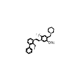 COc1cc(/C=C/c2cccc(-c3ccccc3)c2CF)c(C(F)(F)F)cc1CN1CCCCC1